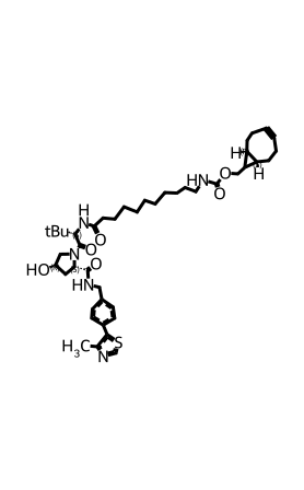 Cc1ncsc1-c1ccc(CNC(=O)[C@@H]2C[C@@H](O)CN2C(=O)[C@@H](NC(=O)CCCCCCCCCCNC(=O)OCC2[C@H]3CCC#CCC[C@@H]23)C(C)(C)C)cc1